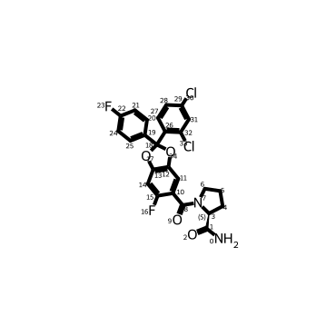 NC(=O)[C@@H]1CCCN1C(=O)c1cc2c(cc1F)OC(c1ccc(F)cc1)(c1ccc(Cl)cc1Cl)O2